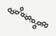 c1ccc(N(c2ccc3c(c2)oc2c4ccccc4ccc32)c2ccc3c(c2)oc2c3ccc3c2ccc2c4ccc(N(c5ccccc5)c5ccc6c(c5)oc5c7ccccc7ccc65)cc4oc23)cc1